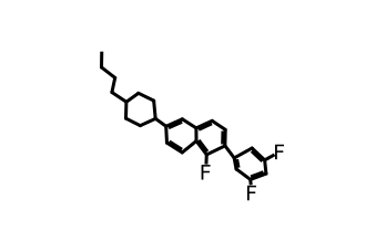 CCCCC1CCC(c2ccc3c(F)c(-c4cc(F)cc(F)c4)ccc3c2)CC1